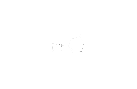 C1=C(N2CC2)CCCC1